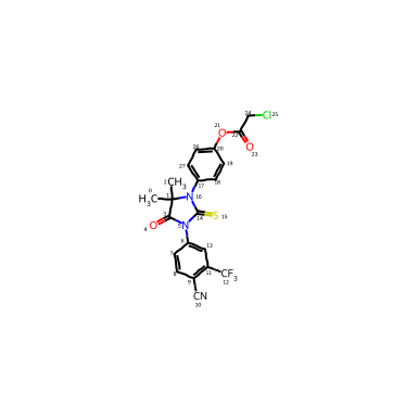 CC1(C)C(=O)N(c2ccc(C#N)c(C(F)(F)F)c2)C(=S)N1c1ccc(OC(=O)CCl)cc1